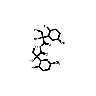 CC1CCC(C(C)C)C(C(O)(CO)C(=O)OC(=O)C(O)(CO)C2CC(C)CCC2C(C)C)C1